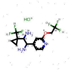 Cl.NC(c1ccnc(OCC(F)(F)F)c1)C(N)C1(C(F)(F)F)CC1